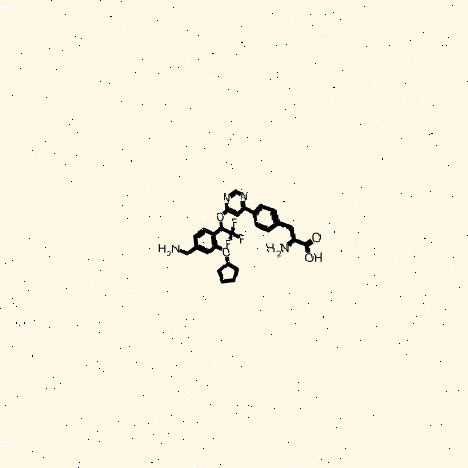 NCc1ccc(C(Oc2cc(-c3ccc(CC(N)C(=O)O)cc3)ncn2)C(F)(F)F)c(OC2CCCC2)c1